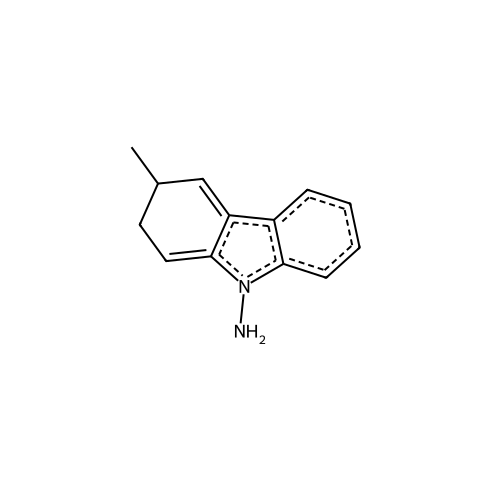 CC1C=c2c(n(N)c3ccccc23)=CC1